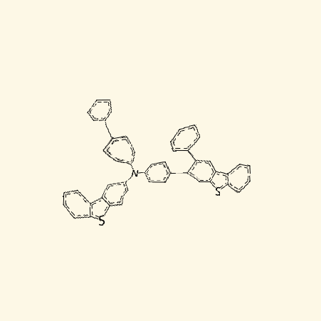 c1ccc(-c2ccc(N(c3ccc(-c4cc5sc6ccccc6c5cc4-c4ccccc4)cc3)c3ccc4sc5ccccc5c4c3)cc2)cc1